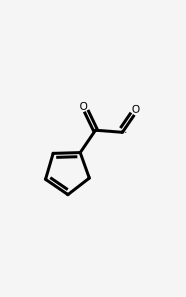 O=[C]C(=O)C1=CC=CC1